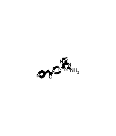 Nc1nc(N2CCN(C(=O)Cc3ccncc3)CC2)c2ncsc2n1